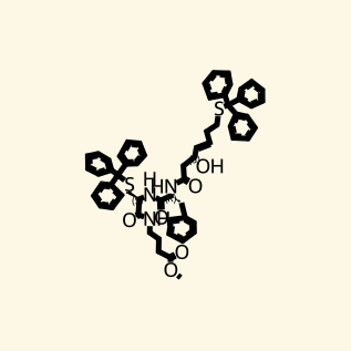 COC(=O)CCCNC(=O)[C@@H](CSC(c1ccccc1)(c1ccccc1)c1ccccc1)NC(=O)[C@@H](Cc1ccccc1)NC(=O)C[C@H](O)C=CCCSC(c1ccccc1)(c1ccccc1)c1ccccc1